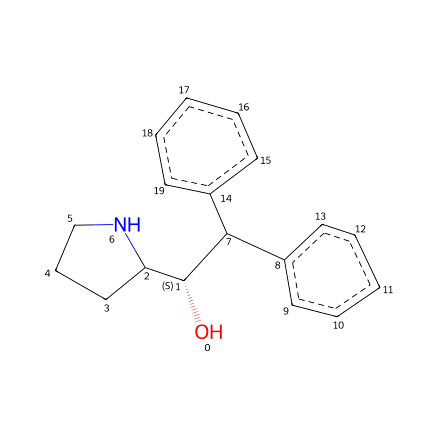 O[C@H](C1CCCN1)C(c1ccccc1)c1ccccc1